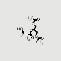 CC(=O)OCC(COC(C)=O)OC(C)=O.O=CO